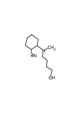 CCC(C)C1CCCCC1N(C)CCCCO